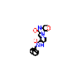 CN(C(=O)c1cc2c(C(=O)NCC34CC5CC(CC(C5)C3)C4)cccn2n1)C1CCOCC1